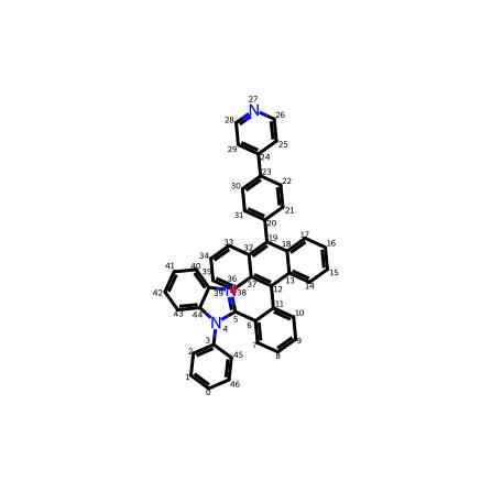 c1ccc(-n2c(-c3ccccc3-c3c4ccccc4c(-c4ccc(-c5ccncc5)cc4)c4ccccc34)nc3ccccc32)cc1